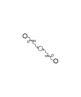 O=C(Cc1ccccc1)NCCCN1CCN(CCCNC(=O)Cc2ccccc2)CC1